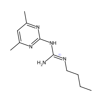 CCCC/N=C(\N)Nc1nc(C)cc(C)n1